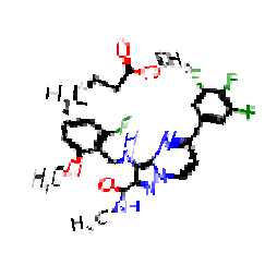 CCCC(=O)OC.CNC(=O)c1nn2ccc(-c3cc(F)c(F)c(F)c3)nc2c1NCc1c(F)cccc1OC